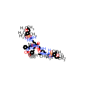 CC(=O)N[C@H](C(=O)N[C@@H](Cc1ccc(OC(C)(C)C)cc1)C(=O)NC(CCCNC(=N)NS(=O)(=O)c1c(C)c(C)c2c(c1C)CCC(C)(C)O2)C(=O)NCC(=O)N[C@@H](CCCNC(=N)NS(=O)(=O)c1c(C)c(C)c2c(c1C)CCC(C)(C)O2)C(=O)N[C@H](C=O)CC(C)C)c1cn(C(=O)OC(C)(C)C)c2ccccc12